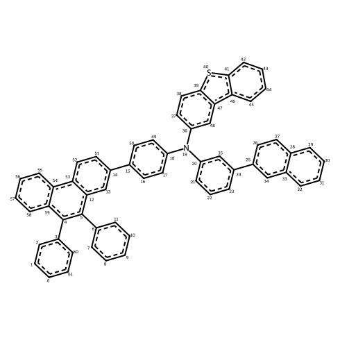 c1ccc(-c2c(-c3ccccc3)c3cc(-c4ccc(N(c5cccc(-c6ccc7ccccc7c6)c5)c5ccc6sc7ccccc7c6c5)cc4)ccc3c3ccccc23)cc1